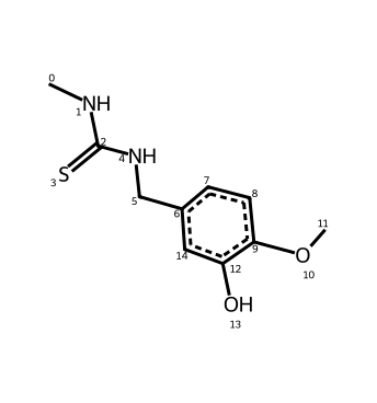 CNC(=S)NCc1ccc(OC)c(O)c1